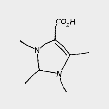 CC1=C(C(=O)O)N(C)C(C)N1C